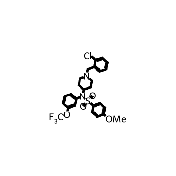 COc1ccc(S(=O)(=O)N(c2cccc(OC(F)(F)F)c2)C2CCN(Cc3ccccc3Cl)CC2)cc1